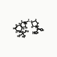 O=C(O)N1CC[C@@H](CN2Cc3cccc(C(F)(F)F)c3C2)C1